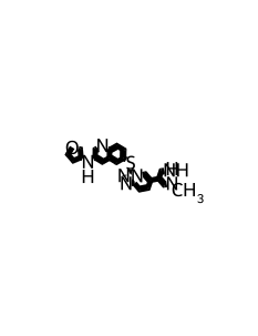 CN/C=C(\C=N)c1ccc2nnc(Sc3ccc4ncc(NC5CCOC5)cc4c3)n2c1